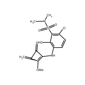 C=C1C(=O)C(Nc2ccc(Cl)c(S(=O)(=O)N(C)C)c2O)=C1OC